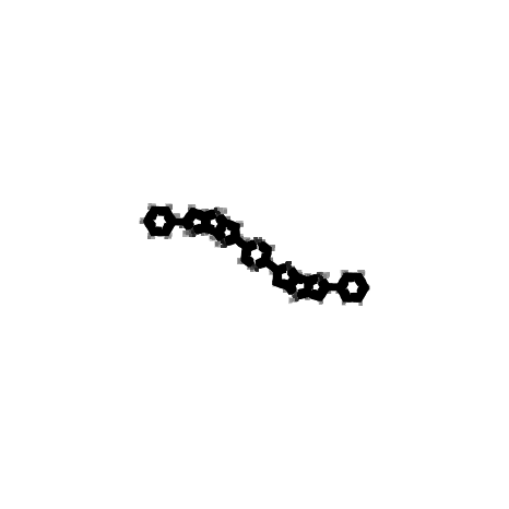 c1ccc(-c2cc3sc4cc(-c5cnc(-c6cc7sc8cc(-c9ccccc9)sc8c7s6)cn5)sc4c3s2)cc1